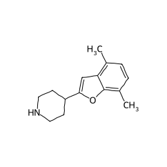 Cc1ccc(C)c2oc(C3CCNCC3)cc12